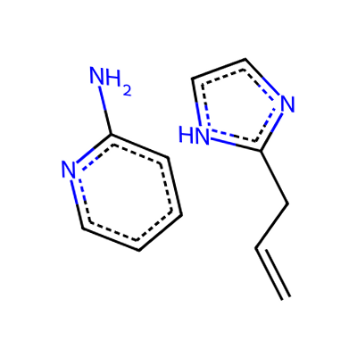 C=CCc1ncc[nH]1.Nc1ccccn1